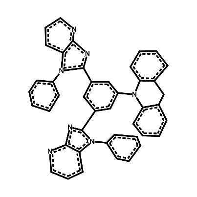 c1ccc(-n2c(-c3cc(-c4nc5ncccc5n4-c4ccccc4)cc(N4c5ccccc5Cc5ccccc54)c3)nc3ncccc32)cc1